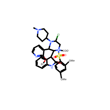 CCOc1ncccc1C1C(C2C(=O)Nc3ccccc32)[N+](C(=O)[O-])(S(=O)(=O)c2ccc(OC)cc2OC)CC(Cl)N1C1CCN(C)CC1